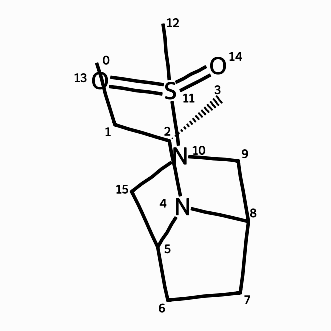 CC[C@H](C)N1C2CCC1CN(S(C)(=O)=O)C2